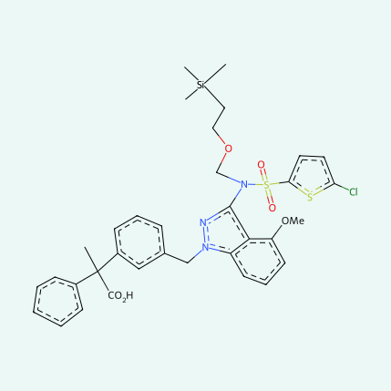 COc1cccc2c1c(N(COCC[Si](C)(C)C)S(=O)(=O)c1ccc(Cl)s1)nn2Cc1cccc(C(C)(C(=O)O)c2ccccc2)c1